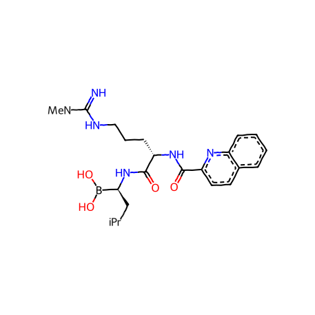 CNC(=N)NCCC[C@H](NC(=O)c1ccc2ccccc2n1)C(=O)N[C@@H](CC(C)C)B(O)O